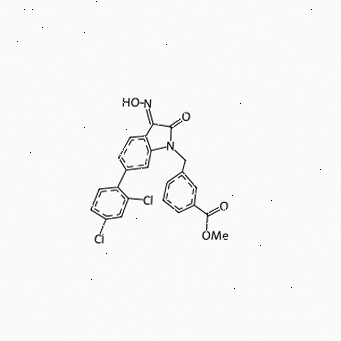 COC(=O)c1cccc(CN2C(=O)/C(=N/O)c3ccc(-c4ccc(Cl)cc4Cl)cc32)c1